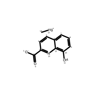 O=C([O-])c1ccc2cccc(O)c2n1.[CH3][Hg+]